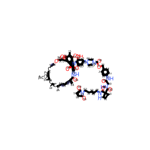 CC(=O)O[C@@H]1[C@H](C)C/C=C/O[C@@]2(C)Oc3c(C)c(O)c4c(=O)c(c5oc6cc(N7CCN(C(=O)OCc8ccc(NC(=O)CNC(=O)C9(C(=O)NCCCCCN%10C(=O)C=CC%10=O)CCC9)cc8)CC7)cc(O)c6nc-5c4c3C2=O)NC(=O)/C(C)=C\C=C\[C@H](C)C[C@@H](C)C[C@H]1C